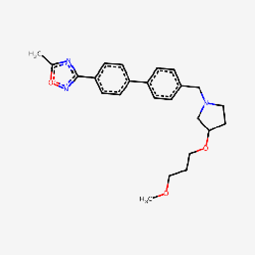 COCCCOC1CCN(Cc2ccc(-c3ccc(-c4noc(C)n4)cc3)cc2)C1